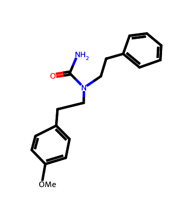 COc1ccc(CCN(CCc2ccccc2)C(N)=O)cc1